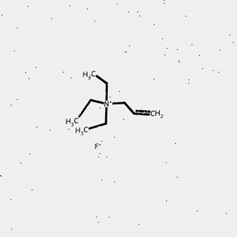 C=CC[N+](CC)(CC)CC.[F-]